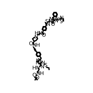 CCCSc1nc(NCCNC(=O)OC(C)(C)C)c2nnn(Cc3ccc(C#CCNC(=O)C4CCN(CCNC(=O)c5ccc(-c6csc(N7N=C(c8ccccc8)/C(=N\Nc8nccs8)C7=O)n6)cc5)CC4)cc3)c2n1